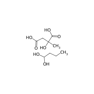 CC(O)(CC(=O)O)C(=O)O.CCCC(O)O